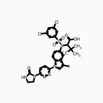 CC(C)(C)C(C(=O)O)N(c1ccc2c(c1)c(I)cn2-c1ccc(N2CCNC2=O)nn1)S(=O)(=O)c1cc(Cl)cc(Cl)c1